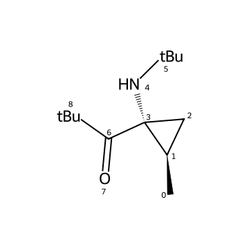 C[C@@H]1C[C@]1(NC(C)(C)C)C(=O)C(C)(C)C